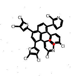 Clc1ccc(-c2c(-c3cccnc3Cl)ccc3c(-c4cc(Cl)c(Cl)s4)[c]c(-c4cc(Cl)c(Cl)o4)c(-c4ccnc(Cl)c4)c23)cn1